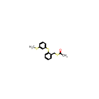 CSc1cccc(Sc2ccccc2CSC(C)=O)c1